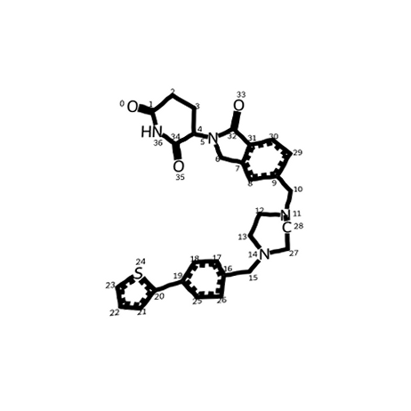 O=C1CCC(N2Cc3cc(CN4CCN(Cc5ccc(-c6cccs6)cc5)CC4)ccc3C2=O)C(=O)N1